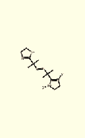 CC(C)(/N=N/C(C)(C)C1=[N+]([S-])CC[NH+]1[S-])C1=NCCN1